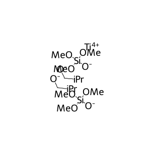 CC(C)C[O-].CC(C)C[O-].CO[Si]([O-])(OC)OC.CO[Si]([O-])(OC)OC.[Ti+4]